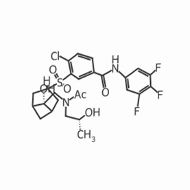 CC(=O)N(C[C@@H](C)O)C[C@]1(O)C2CC1C[C@@H](S(=O)(=O)c1cc(C(=O)Nc3cc(F)c(F)c(F)c3)ccc1Cl)C2